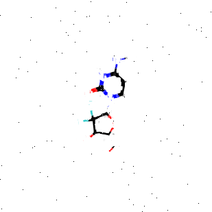 CNc1ccn([C@@H]2O[C@H](CO)C(O)C2(F)F)c(=O)n1